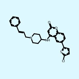 O=c1cc(NC2CCN(CC=Cc3ccccc3)CC2)c2cc(-c3ccc(Cl)s3)ccc2o1